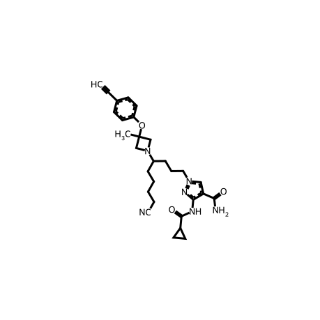 C#Cc1ccc(OC2(C)CN(C(CCCCC#N)CCCn3cc(C(N)=O)c(NC(=O)C4CC4)n3)C2)cc1